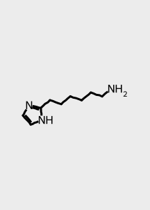 NCCCCCCc1ncc[nH]1